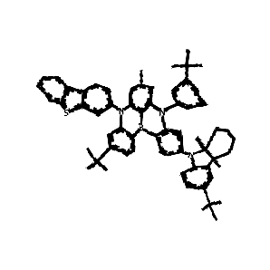 Cc1cc2c3c(c1)N(c1ccc4c(c1)sc1ccccc14)c1cc(C(C)(C)C)ccc1B3c1ccc(N3c4ccc(C(C)(C)C)cc4C4(C)CCCCC34C)cc1N2c1cccc(C(C)(C)C)c1